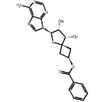 Nc1ncnc2c1ncn2[C@@H]1O[C@]2(C[C@@H](OC(=O)c3ccccc3)C2)[C@@H](O)[C@H]1O